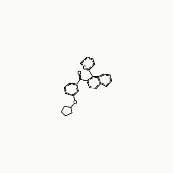 O=C(c1cccc(OC2CCCC2)c1)c1ccc2ccccc2c1-c1ccccc1